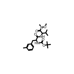 CON(C)C(=O)C(NC(=O)C(Cc1cccc(C)c1)NC(=O)OC(C)(C)C)C(C)C